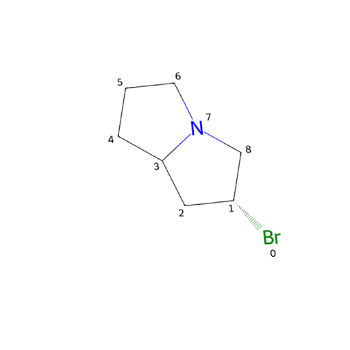 Br[C@@H]1CC2CCCN2C1